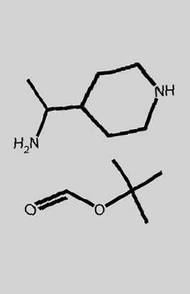 CC(C)(C)OC=O.CC(N)C1CCNCC1